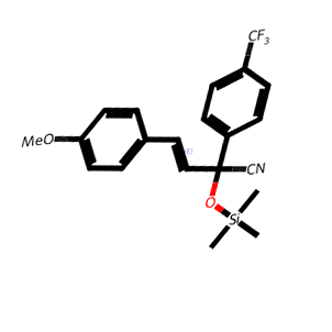 COc1ccc(/C=C/C(C#N)(O[Si](C)(C)C)c2ccc(C(F)(F)F)cc2)cc1